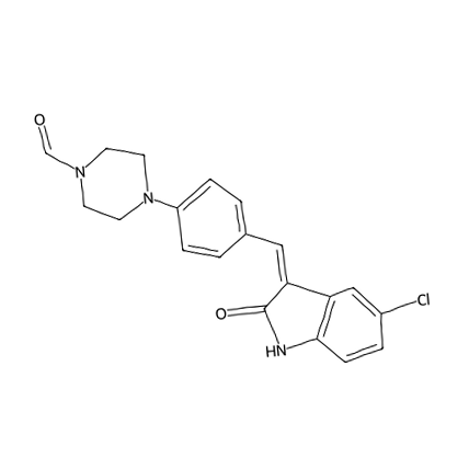 O=CN1CCN(c2ccc(C=C3C(=O)Nc4ccc(Cl)cc43)cc2)CC1